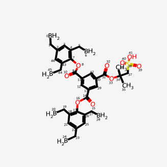 BCc1cc(CB)c(OC(=O)c2cc(C(=O)Oc3c(CB)cc(CB)cc3CB)cc(C(=O)OC(C)(C)CS(=O)(=O)O)c2)c(CB)c1